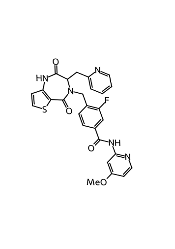 COc1ccnc(NC(=O)c2ccc(CN3C(=O)c4sccc4NC(=O)C3Cc3ccccn3)c(F)c2)c1